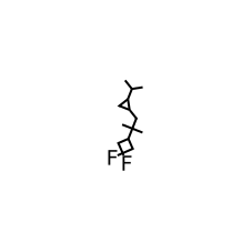 CC(C)C1CC1CC(C)(C)C1CC(F)(F)C1